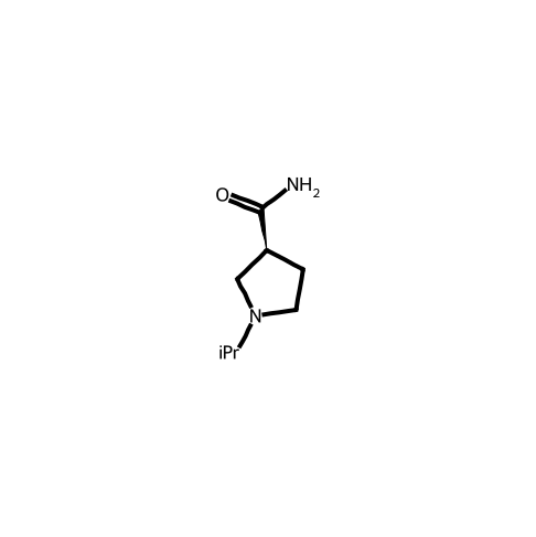 CC(C)N1CC[C@H](C(N)=O)C1